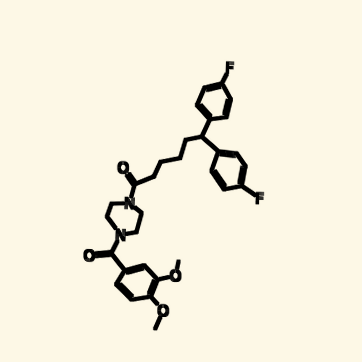 COc1ccc(C(=O)N2CCN(C(=O)CCCCC(c3ccc(F)cc3)c3ccc(F)cc3)CC2)cc1OC